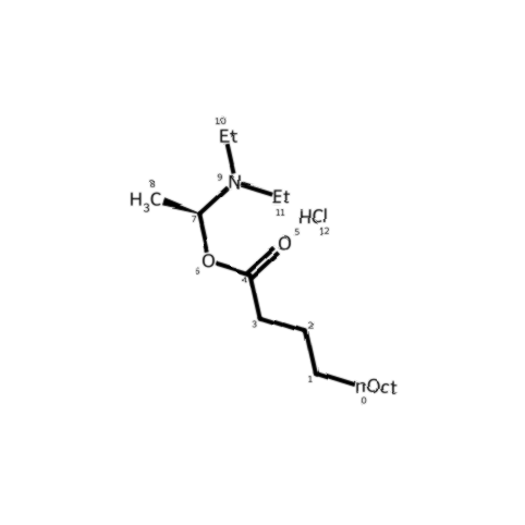 CCCCCCCCCCCC(=O)O[C@@H](C)N(CC)CC.Cl